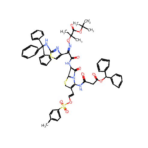 Cc1ccc(S(=O)(=O)O/C=C/C2=C(NC(=O)CC(=O)OC(c3ccccc3)c3ccccc3)N3C(=O)C(NC(=O)/C(=N/OC(C)(C)C(=O)OC(C)(C)C)c4csc(NC(c5ccccc5)(c5ccccc5)c5ccccc5)n4)C3SC2)cc1